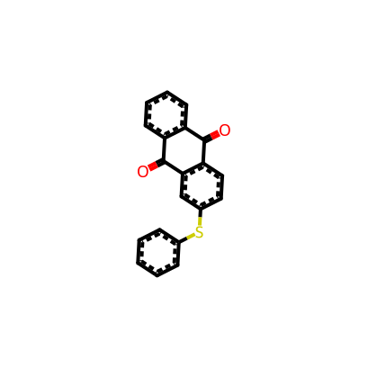 O=C1c2ccccc2C(=O)c2cc(Sc3ccccc3)ccc21